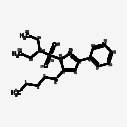 CCCCSc1cc(-c2cccnc2)nn1S(=O)(=O)N(CC)CC